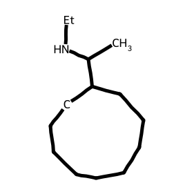 CCNC(C)C1CCCCCCCCC1